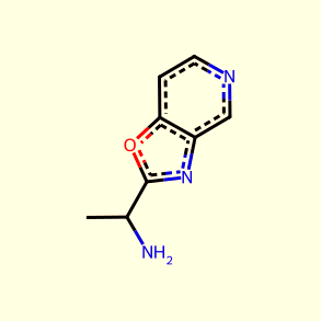 CC(N)c1nc2cnccc2o1